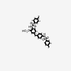 Cc1ccc(S(=O)(=O)Nc2ccc(Cc3ccc(NS(=O)(=O)c4ccc(C)cc4)c(C(=O)O)c3)cc2)cc1